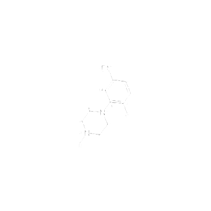 C[CH]c1ccc(C)c(N2CCN(C)CC2)c1